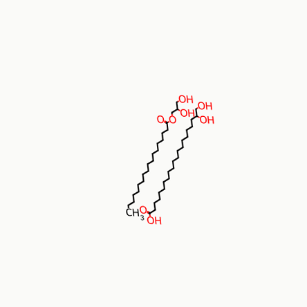 CCCCCCCCCCCCCCCCCC(=O)OCC(O)CO.O=C(O)CCCCCCCCCCCCCCCCCCC(O)CO